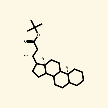 C[C@H](CC(=O)OC(C)(C)C)C1CCC2C3CCC4CCCC[C@]4(C)C3CC[C@@]21C